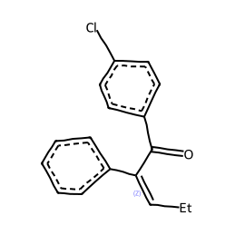 CC/C=C(\C(=O)c1ccc(Cl)cc1)c1ccccc1